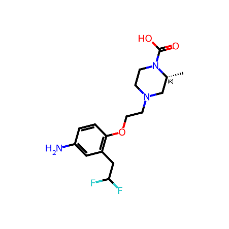 C[C@@H]1CN(CCOc2ccc(N)cc2CC(F)F)CCN1C(=O)O